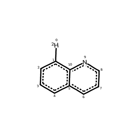 [2H]c1cccc2cccnc12